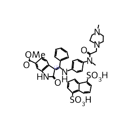 COC(=O)c1ccc2c(c1)NC(=O)/C2=C(\Nc1ccc(N(C)C(=O)CN2CCN(C)CC2)cc1)c1ccccc1.O=S(=O)(O)c1cccc2c(S(=O)(=O)O)cccc12